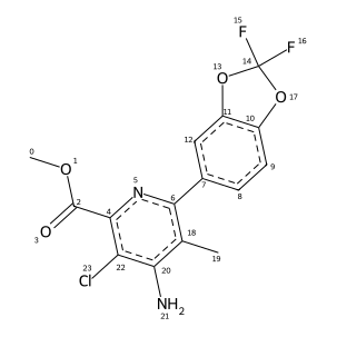 COC(=O)c1nc(-c2ccc3c(c2)OC(F)(F)O3)c(C)c(N)c1Cl